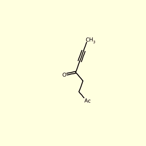 CC#CC(=O)CCC(C)=O